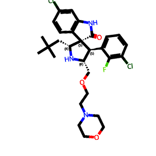 CC(C)(C)C[C@H]1N[C@@H](COCCN2CCOCC2)[C@H](c2cccc(Cl)c2F)[C@@]12C(=O)Nc1cc(Cl)ccc12